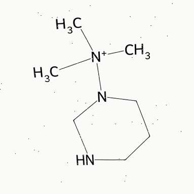 C[N+](C)(C)N1CCCNC1